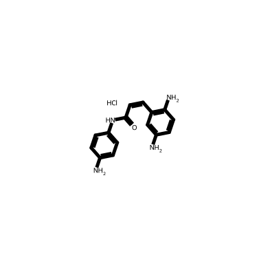 Cl.Nc1ccc(NC(=O)/C=C\c2cc(N)ccc2N)cc1